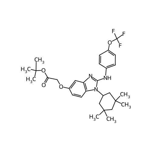 CC1(C)CC(n2c(Nc3ccc(OC(F)(F)F)cc3)nc3cc(OCC(=O)OC(C)(C)C)ccc32)CC(C)(C)C1